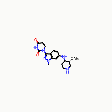 CO[C@@H]1CNCC[C@H]1Nc1ccc2c(N3CCC(=O)NC3=O)nn(C)c2c1